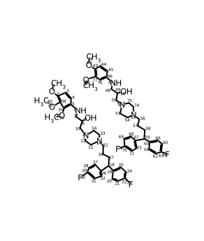 COc1ccc(NCC(O)CN2CCN(CCCC(c3ccc(F)cc3)c3ccc(F)cc3)CC2)c(OC)c1OC.COc1ccc(NCC(O)CN2CCN(CCCC(c3ccc(F)cc3)c3ccc(F)cc3)CC2)cc1OC